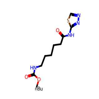 CCCCOC(=O)NCCCCCC(=O)Nc1nncs1